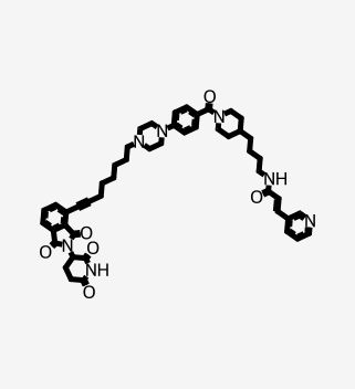 O=C(/C=C/c1cccnc1)NCCCCC1CCN(C(=O)c2ccc(N3CCN(CCCCCCC#Cc4cccc5c4C(=O)N(C4CCC(=O)NC4=O)C5=O)CC3)cc2)CC1